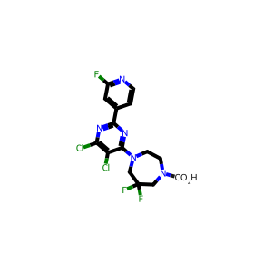 O=C(O)N1CCN(c2nc(-c3ccnc(F)c3)nc(Cl)c2Cl)CC(F)(F)C1